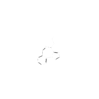 O=C(O)CCC1N=Cc2ccccc2-n2ccnc21